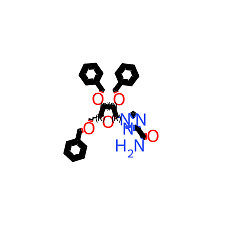 NC(=O)c1ncn([C@@H]2O[C@H](COCc3ccccc3)[C@@H](OCc3ccccc3)[C@@H]2OCc2ccccc2)n1